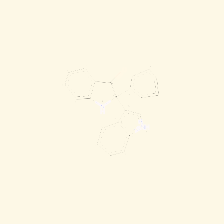 O=C1c2ccccc2NC1(c1ccccc1)c1c[nH]c2ccccc12